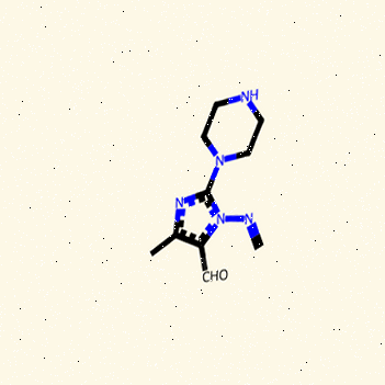 C=Nn1c(N2CCNCC2)nc(C)c1C=O